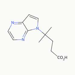 CC(C)(CCC(=O)O)n1ccc2nccnc21